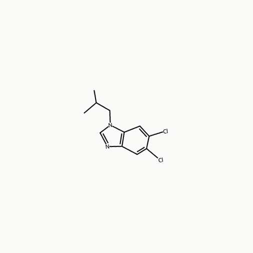 CC(C)Cn1cnc2cc(Cl)c(Cl)cc21